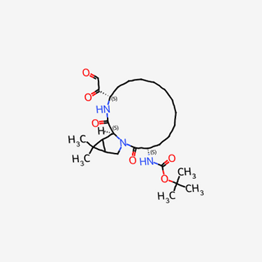 CC(C)(C)OC(=O)N[C@H]1CCCCCCCCCC[C@@H](C(=O)C=O)NC(=O)[C@@H]2C3C(CN2C1=O)C3(C)C